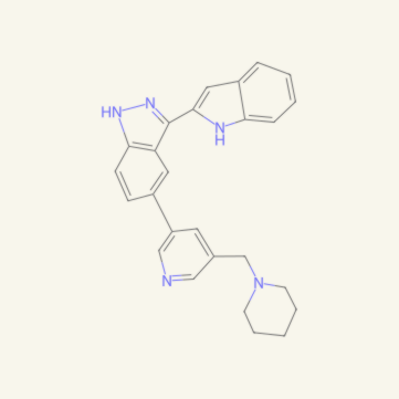 c1ccc2[nH]c(-c3n[nH]c4ccc(-c5cncc(CN6CCCCC6)c5)cc34)cc2c1